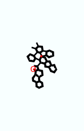 Cc1cc2c(c(-c3ccccc3-c3ccc4cc5ccccc5cc4c3-c3coc4c3ccc3c5ccccc5ccc34)c1C)Cc1ccccc1-2